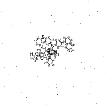 CC(C)(C)c1cc(C2=CC=CC3Sc4ccc(N(c5ccc(-c6ccccc6)cc5)c5ccc(-c6cccc7ccccc67)cc5)cc4C23)cc(C(C)(C)C)c1